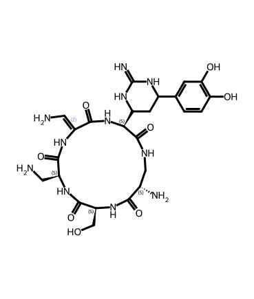 N=C1NC(c2ccc(O)c(O)c2)CC([C@@H]2NC(=O)/C(=C/N)NC(=O)[C@H](CN)NC(=O)[C@H](CO)NC(=O)[C@@H](N)CNC2=O)N1